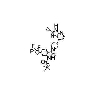 CC(C)(C)OC(=O)Nc1cc(OC(F)(F)F)ccc1C(=O)N1CCC(c2ccnc3[nH]c(C4CC4)nc23)CC1